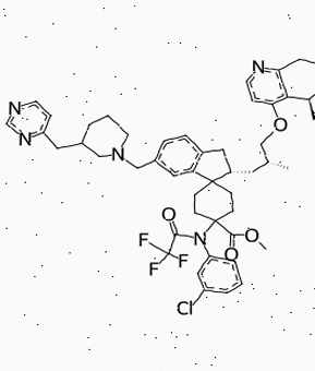 COC(=O)C1(N(C(=O)C(F)(F)F)c2cccc(Cl)c2)CCC2(CC1)c1cc(CN3CCCC(Cc4ccncn4)C3)ccc1C[C@@H]2C[C@@H](C)COc1ccnc2c1[C@H](C)CCC2